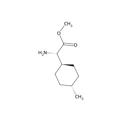 COC(=O)[C@@H](N)[C@H]1CC[C@H](C)CC1